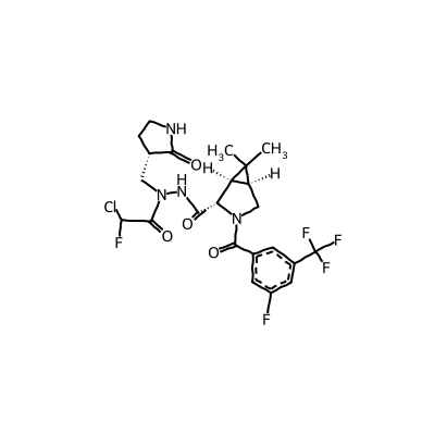 CC1(C)[C@@H]2[C@@H](C(=O)NN(C[C@@H]3CCNC3=O)C(=O)C(F)Cl)N(C(=O)c3cc(F)cc(C(F)(F)F)c3)C[C@@H]21